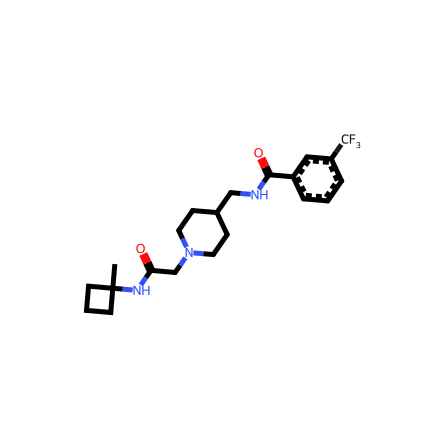 CC1(NC(=O)CN2CCC(CNC(=O)c3cccc(C(F)(F)F)c3)CC2)CCC1